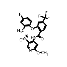 COc1cc(NC(=O)c2ccc(C(F)(F)F)cc2Oc2ccc(F)cc2C)c([N+](=O)[O-])cn1